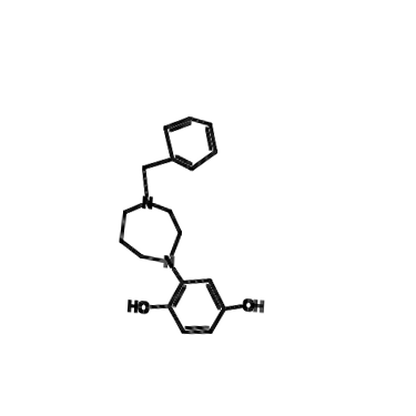 Oc1ccc(O)c(N2CCCN(Cc3ccccc3)CC2)c1